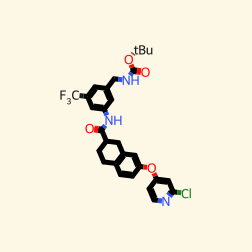 CC(C)(C)OC(=O)NCc1cc(NC(=O)C2CCc3ccc(Oc4ccnc(Cl)c4)cc3C2)cc(C(F)(F)F)c1